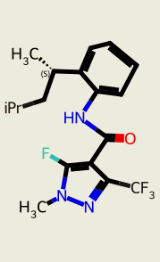 CC(C)C[C@H](C)c1ccccc1NC(=O)c1c(C(F)(F)F)nn(C)c1F